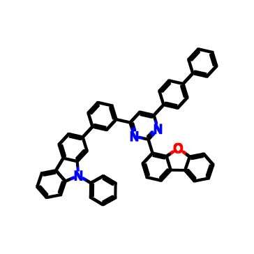 c1ccc(-c2ccc(-c3cc(-c4cccc(-c5ccc6c7ccccc7n(-c7ccccc7)c6c5)c4)nc(-c4cccc5c4oc4ccccc45)n3)cc2)cc1